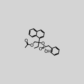 CCC(COC(C)=O)(OP(=O)(O)Cc1ccccc1)c1cccc2ccccc12